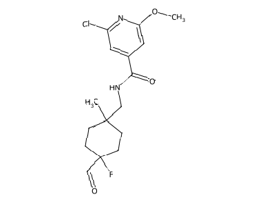 COc1cc(C(=O)NCC2(C)CCC(F)(C=O)CC2)cc(Cl)n1